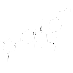 CCN1CCC2(CC1)OC(=O)C(C)=C2C(=O)N1CCN(c2cccc(F)c2)CC1